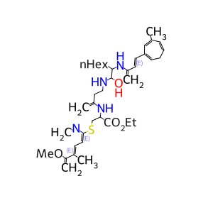 C=N/C(=C\C=C(/C)C(=C)OC)SCC(NC(=C)CCNC(O)C(CCCCCC)NC(=C)/C=C/C1=CCC=CC(C)=C1)C(=O)OCC